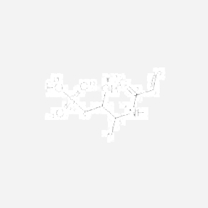 C=CC(=O)NC(C)C(O)CS(=O)(=O)O